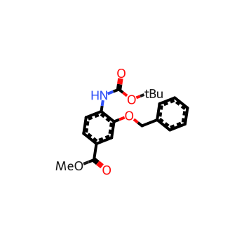 COC(=O)c1ccc(NC(=O)OC(C)(C)C)c(OCc2ccccc2)c1